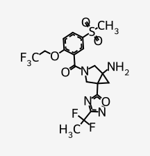 CC(F)(F)c1noc(C23CN(C(=O)c4cc(S(C)(=O)=O)ccc4OCC(F)(F)F)CC2(N)C3)n1